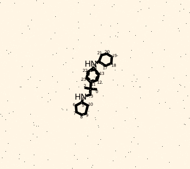 CC(C)(CNC1CCCCC1)c1ccc(NC2CCCCC2)cc1